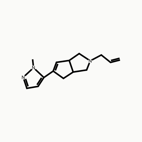 C=CCN1CC2C=C(c3ccnn3C)CC2C1